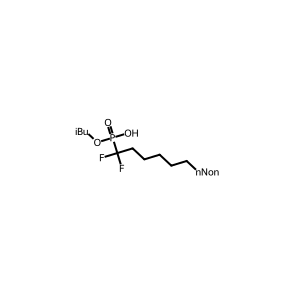 CCCCCCCCCCCCCCC(F)(F)P(=O)(O)OC(C)CC